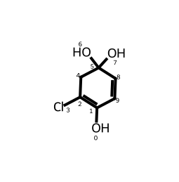 OC1=C(Cl)CC(O)(O)C=C1